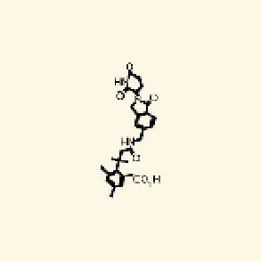 Cc1cc(C)c(C(C)(C)CC(=O)NCc2ccc3c(c2)CN(C2CCC(=O)NC2=O)C3=O)c(CC(=O)O)c1